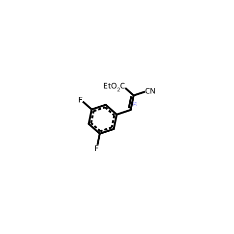 CCOC(=O)/C(C#N)=C\c1cc(F)cc(F)c1